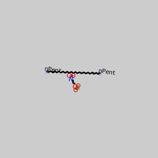 CCCCC/C=C\CC=CCCCCCCCCC(CCCCCCCCC=CC/C=C\CCCCC)OC(=O)N(C)CCCOS(C)(=O)=O